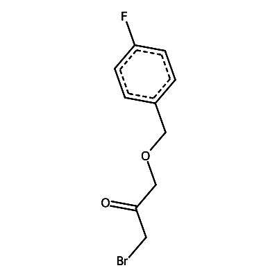 O=C(CBr)COCc1ccc(F)cc1